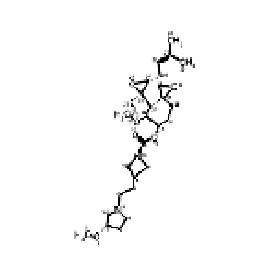 CO[C@H]1CCN(CCC2CN(C(=O)O[C@@H]3CC[C@]4(CO4)[C@@H]([C@@]4(C)O[C@@H]4CC=C(C)C)[C@@H]3OC)C2)C1